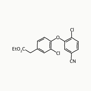 CCOC(=O)Cc1ccc(Oc2cc(C#N)ccc2Cl)c(Cl)c1